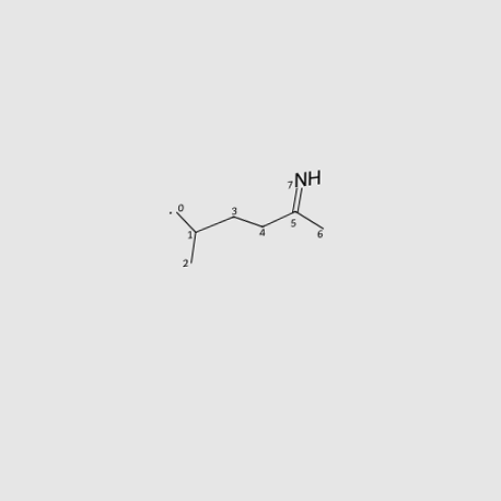 [CH2]C(C)CCC(C)=N